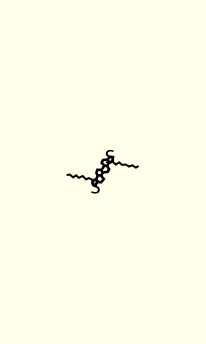 CCCCCCCCc1csc2ccc3c4ccc5c(ccc6scc(CCCCCCCC)c65)c4ccc3c12